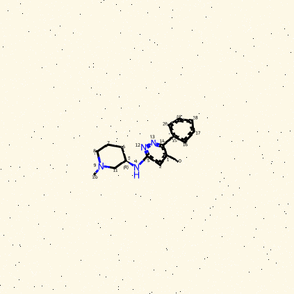 Cc1cc(N[C@@H]2CCCN(C)C2)nnc1-c1ccccc1